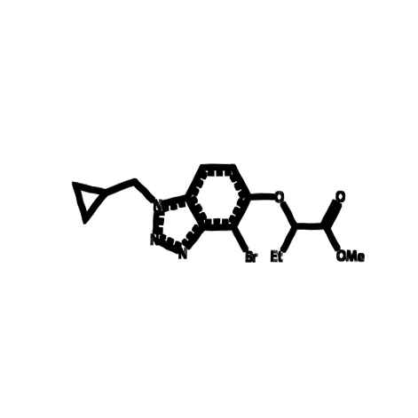 CCC(Oc1ccc2c(nnn2CC2CC2)c1Br)C(=O)OC